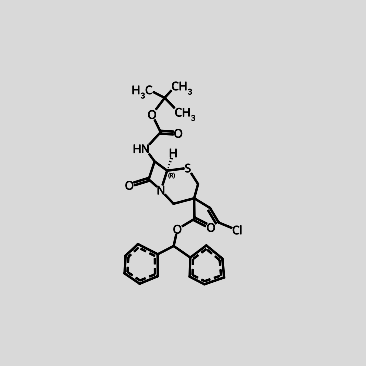 CC(C)(C)OC(=O)NC1C(=O)N2CC(C=CCl)(C(=O)OC(c3ccccc3)c3ccccc3)CS[C@H]12